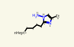 CCCCCCCCCCCc1nc(CC)cn1N